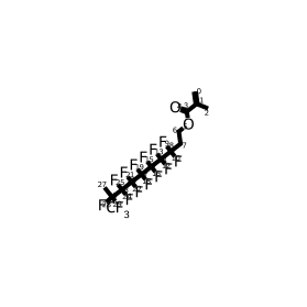 C=C(C)C(=O)OCCC(F)(F)C(F)(F)C(F)(F)C(F)(F)C(F)(F)C(F)(F)C(C)(F)C(F)(F)F